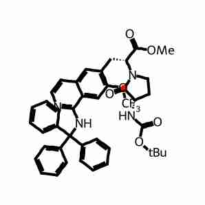 COC(=O)[C@@H](Cc1cc2ccnc(NC(c3ccccc3)(c3ccccc3)c3ccccc3)c2cc1OC(F)(F)F)N1CC[C@H](NC(=O)OC(C)(C)C)C1=O